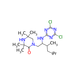 CC(C)CC(C)C(CN1CC(C)(C)NC(C)(C)C1=O)Nc1nc(Cl)nc(Cl)n1